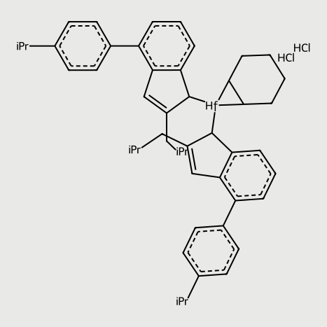 CC(C)CC1=Cc2c(-c3ccc(C(C)C)cc3)cccc2[CH]1[Hf]1([CH]2C(CC(C)C)=Cc3c(-c4ccc(C(C)C)cc4)cccc32)[CH]2CCCC[CH]21.Cl.Cl